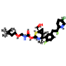 C[C@]1(c2cc(/C=C(\F)c3ccc(Cl)cn3)ccc2F)N=C(OC(=O)NCOCC[Si](C)(C)C)S[C@@]2(CO)C[C@H]21